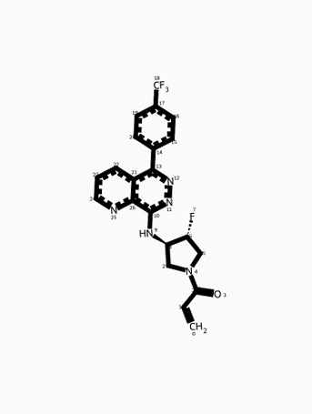 C=CC(=O)N1C[C@@H](F)[C@H](Nc2nnc(-c3ccc(C(F)(F)F)cc3)c3cccnc23)C1